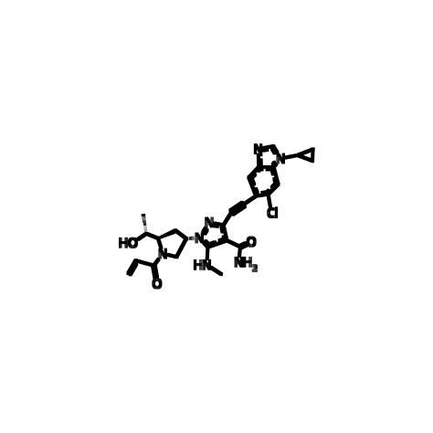 C=CC(=O)N1C[C@@H](n2nc(C#Cc3cc4ncn(C5CC5)c4cc3Cl)c(C(N)=O)c2NC)C[C@@H]1[C@@H](C)O